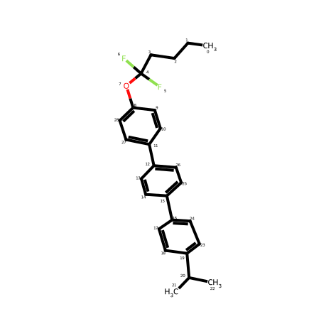 CCCCC(F)(F)Oc1ccc(-c2ccc(-c3ccc(C(C)C)cc3)cc2)cc1